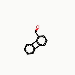 O=Cc1cccc2c1-c1ccccc1-2